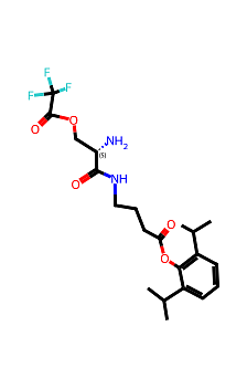 CC(C)c1cccc(C(C)C)c1OC(=O)CCCNC(=O)[C@@H](N)COC(=O)C(F)(F)F